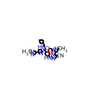 Cc1cc(-c2nc(NC3CCC(N(C(=O)NCc4ccccc4)c4ccc(-c5cnn(C)c5)cn4)CC3)ncc2C#N)n(C2CCCCO2)n1